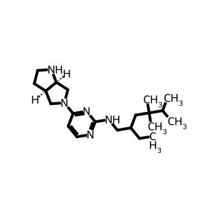 CCC(CNc1nccc(N2C[C@H]3CCN[C@H]3C2)n1)CC(C)(C)C(C)C